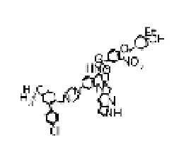 CC[C@]1(O)CC[C@@H](COc2ccc(S(=O)(=O)NC(=O)c3ccc(N4CCN(CC5=C(c6ccc(Cl)cc6)CC(C)(C)CC5)CC4)cc3-n3ncc4nc5[nH]ccc5cc43)cc2[N+](=O)[O-])CC1